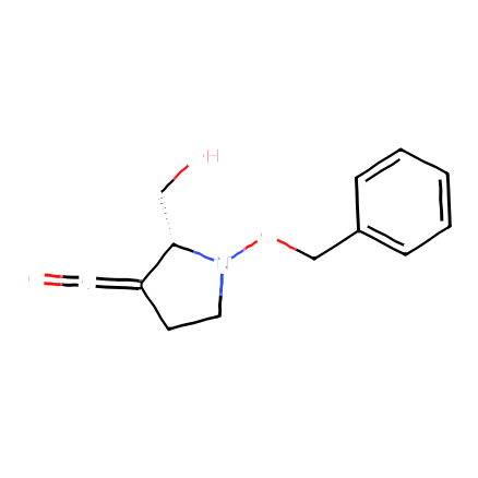 O=C=C1CCN(OCc2ccccc2)[C@H]1CO